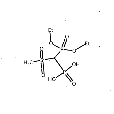 CCOP(=O)(OCC)C(P(=O)(O)O)S(C)(=O)=O